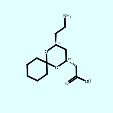 NCC[C@H]1C[C@H](CC(=O)O)OC2(CCCCC2)O1